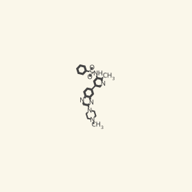 Cc1ncc(-c2ccc3ncc(N4CCN(C)CC4)nc3c2)cc1NS(=O)(=O)c1ccccc1